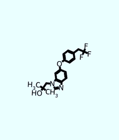 CC(C)(O)Cn1cnc2ccc(Oc3ccc(CC(F)(F)F)cc3)cc21